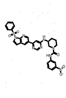 O=C(Nc1cccc([N+](=O)[O-])c1)N1CCCC(Nc2cc(-c3cnc4c(ccn4S(=O)(=O)c4ccccc4)c3)ncn2)C1